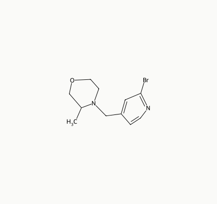 CC1COCCN1Cc1ccnc(Br)c1